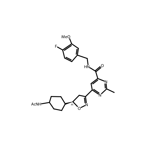 COc1cc(CNC(=O)c2cc(C3=NO[C@@H](C4CCC(NC(C)=O)CC4)C3)nc(C)n2)ccc1F